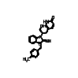 Cc1ccc(Cn2c(=N)n(C(CO)Cc3ccc(=O)[nH]c3)c3ccccc32)cc1